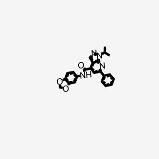 CC(C)n1ncc2c(C(=O)Nc3ccc4c(c3)OCO4)cc(-c3ccccc3)nc21